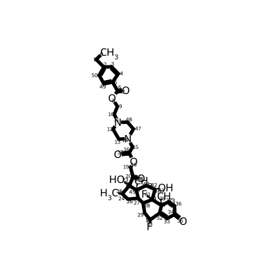 CCc1ccc(C(=O)OCCN2CCN(CC(=O)OCC(=O)[C@@]3(O)[C@H](C)CC4C5C[C@H](F)C6=CC(=O)C=C[C@]6(C)[C@@]5(F)[C@@H](O)C[C@@]43C)CC2)cc1